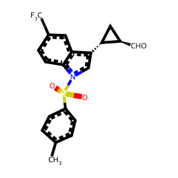 Cc1ccc(S(=O)(=O)n2cc([C@@H]3C[C@H]3C=O)c3cc(C(F)(F)F)ccc32)cc1